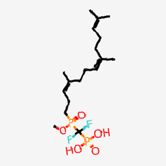 COP(=O)(CCC=C(C)CCC=C(C)CCC=C(C)C)C(F)(F)P(=O)(O)O